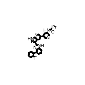 CC(C)C(=O)Nc1cncc(-c2cnc3[nH]nc(-c4nc5c(-c6ccccc6F)cccc5[nH]4)c3c2)c1